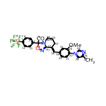 CCOC(=O)C1(c2ccc(S(F)(F)(F)(F)F)cc2)ON=C2/C(=C/c3ccc(-n4cnc(C)c4)c(OC)c3)CCCN21